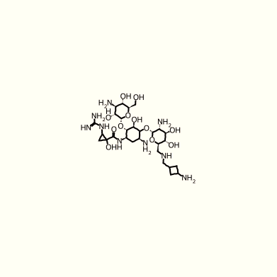 N=C(N)NC1CC1(O)C(=O)N[C@@H]1C[C@H](N)C(O[C@H]2O[C@H](CNCC3CC(N)C3)[C@@H](O)[C@H](O)[C@H]2N)[C@H](O)[C@H]1O[C@H]1O[C@H](CO)[C@@H](O)[C@H](N)[C@H]1O